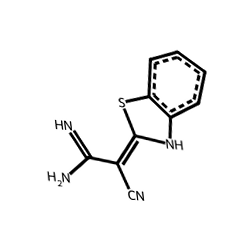 N#C/C(C(=N)N)=C1\Nc2ccccc2S1